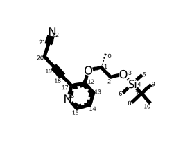 C[C@H](CO[Si](C)(C)C(C)(C)C)Oc1cccnc1C#CCC#N